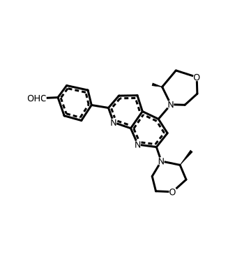 C[C@H]1COCCN1c1cc(N2CCOC[C@@H]2C)c2ccc(-c3ccc(C=O)cc3)nc2n1